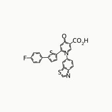 O=C(O)c1cn(-c2ccc3ncsc3c2)c(-c2ccc(-c3ccc(F)cc3)s2)cc1=O